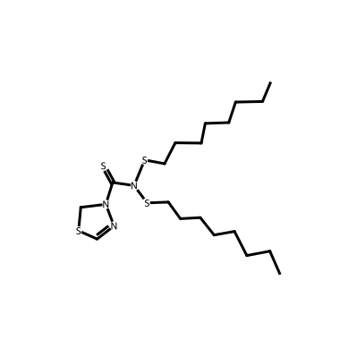 CCCCCCCCSN(SCCCCCCCC)C(=S)N1CSC=N1